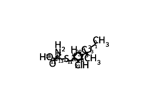 CCCCC(C)(C)c1ccc(CSC[C@H](N)C(=O)O)cc1.Cl